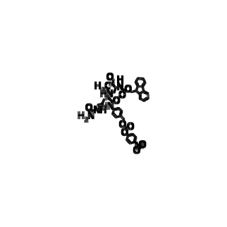 C[C@H](C=O)C(CN[C@@H](CCCNC(N)=O)C(=O)Nc1ccc(COC(=O)Oc2ccc([N+](=O)[O-])cc2)cc1)NC(=O)OCC1c2ccccc2-c2ccccc21